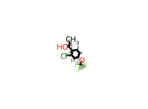 CC=C(O)c1ccc(OC(F)(F)F)cc1Cl